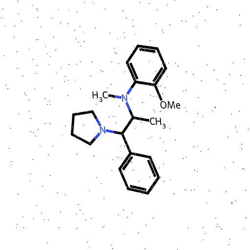 COc1ccccc1N(C)C(C)C(c1ccccc1)N1CCCC1